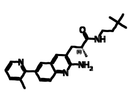 Cc1cccnc1-c1ccc2nc(N)c(C[C@@H](C)C(=O)NCCC(C)(C)C)cc2c1